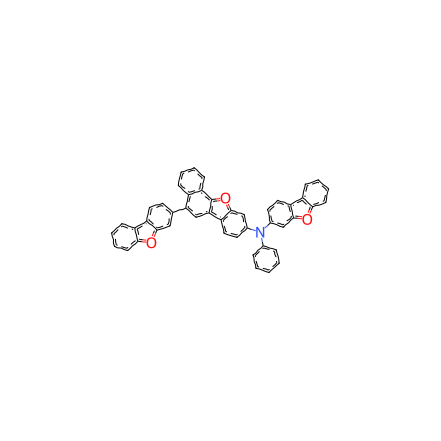 c1ccc(N(c2ccc3c(c2)oc2ccccc23)c2ccc3c(c2)oc2c4ccccc4c(-c4ccc5c(c4)oc4ccccc45)cc32)cc1